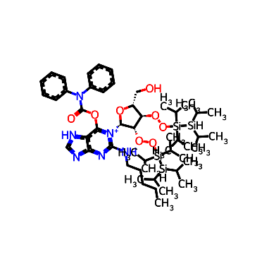 CCCCCNc1nc2nc[nH]c2c(OC(=O)N(c2ccccc2)c2ccccc2)[n+]1[C@@H]1O[C@H](CO)[C@@H](OO[Si](C(C)C)(C(C)C)[SiH](C(C)C)C(C)C)[C@@H]1OO[Si](C(C)C)(C(C)C)[SiH](C(C)C)C(C)C